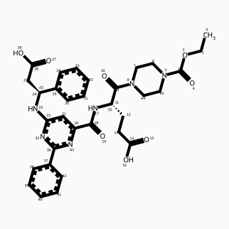 CCOC(=O)N1CCN(C(=O)[C@H](CCC(=O)O)NC(=O)c2cc(N[C@@H](CC(=O)O)c3ccccc3)nc(-c3ccccc3)n2)CC1